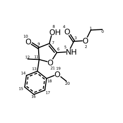 CCOC(=O)NC1=C(O)C(=O)C(C)(c2ccccc2OC)O1